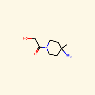 CC1(N)CCN(C(=O)CO)CC1